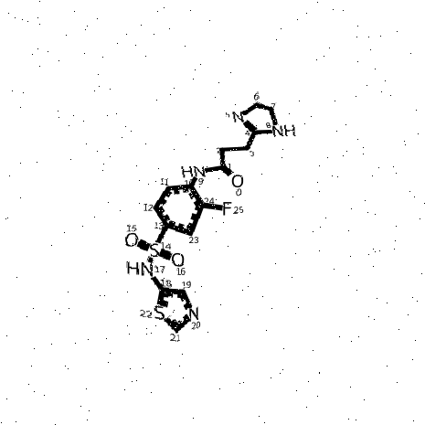 O=C(CCC1=NCCN1)Nc1ccc(S(=O)(=O)Nc2cncs2)cc1F